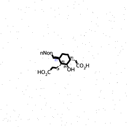 CCCCCCCCC/C=C1\CC[C@H](CC(=O)O)[C@@H](O)[C@@H]1SCC(=O)O